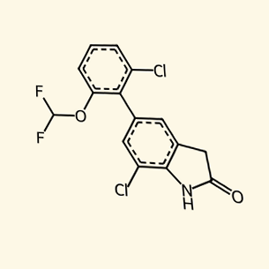 O=C1Cc2cc(-c3c(Cl)cccc3OC(F)F)cc(Cl)c2N1